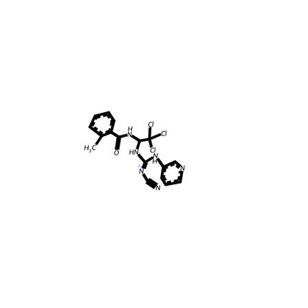 Cc1ccccc1C(=O)NC(N/C(=N/C#N)Nc1cccnc1)C(Cl)(Cl)Cl